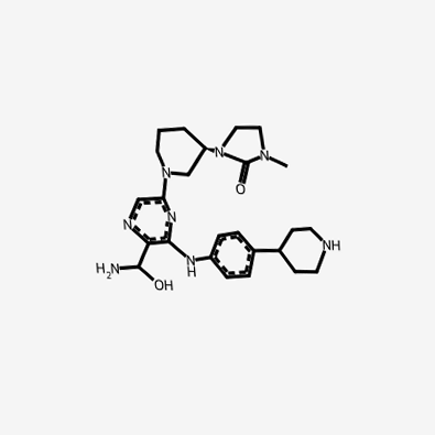 CN1CCN([C@@H]2CCCN(c3cnc(C(N)O)c(Nc4ccc(C5CCNCC5)cc4)n3)C2)C1=O